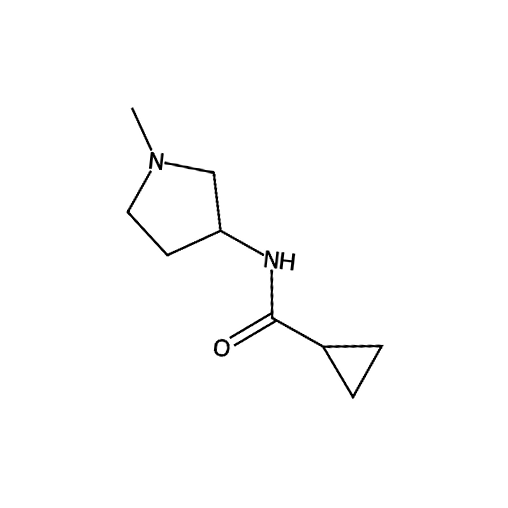 CN1CCC(NC(=O)C2CC2)C1